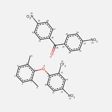 Cc1cccc(C)c1Oc1ccc([N+](=O)[O-])cc1C(F)(F)F.O=C(c1ccc([N+](=O)[O-])cc1)c1ccc([N+](=O)[O-])cc1